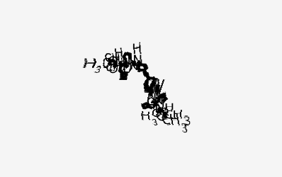 CC(C)(C)OC(=O)NC(CC1CCC1)C(=O)N1CCC[C@H]1c1nc2cc(C#Cc3ccc4[nH]c([C@@H]5CCCN5C(=O)[C@H](CC5CCC5)NC(=O)OC(C)(C)C)nc4c3)ccc2[nH]1